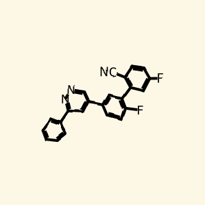 N#Cc1ccc(F)cc1-c1cc(-c2cnnc(-c3ccccc3)c2)ccc1F